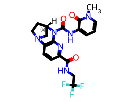 Cn1cccc(NC(=O)N2c3nc(C(=O)NCC(F)(F)F)ccc3N3CC[C@H]2C3)c1=O